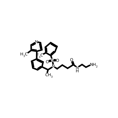 Cc1cnccc1-c1cccc(C(C)N(CCCC(=O)NCCN)S(=O)(=O)c2ccccc2C(F)(F)F)c1